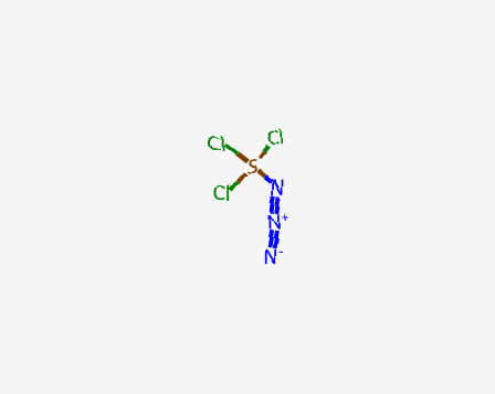 [N-]=[N+]=NS(Cl)(Cl)Cl